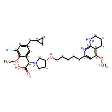 COc1cc(CCCCCO[C@@H]2CCN([C@@H](C(=O)O)c3cc(CC4CC4)cc(F)c3OC)C2)nc2c1CCCN2